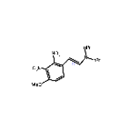 CCCN(/C=C/c1ccc(OC)c([N+](=O)[O-])c1[N+](=O)[O-])CCC